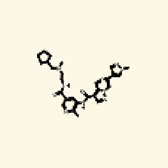 Cc1ncc(C(=O)NCCN(C)CC2CCCC2)cc1NC(=O)c1cnn2cc(-c3cnn(C)c3)ncc12